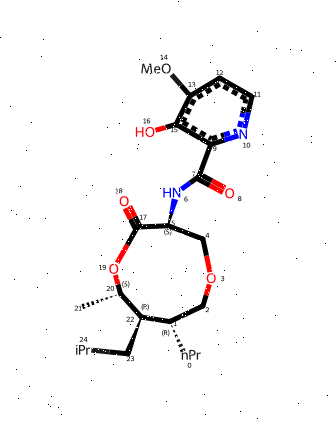 CCC[C@H]1COC[C@H](NC(=O)c2nccc(OC)c2O)C(=O)O[C@@H](C)[C@@H]1CC(C)C